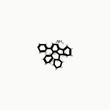 N.c1ccc(-c2ccc3c(c2-c2ccccc2)C(C2CCCCC2)c2ccccc2-3)cc1